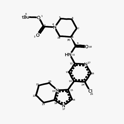 CC(C)(C)OC(=O)N1CCC[C@@H](C(=O)Nc2cc(-c3cnc4n3CCCC4)c(Cl)cn2)C1